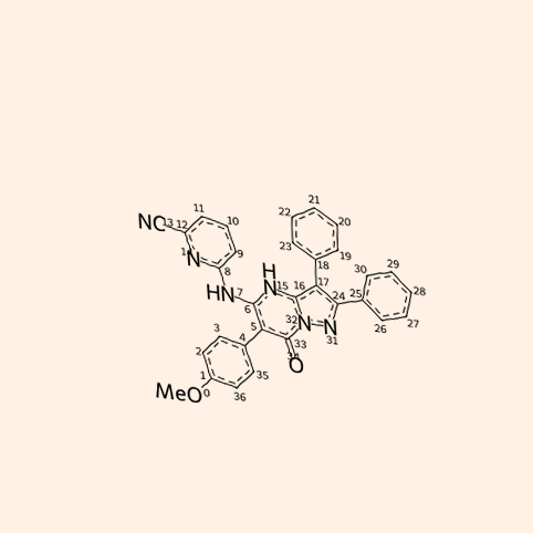 COc1ccc(-c2c(Nc3cccc(C#N)n3)[nH]c3c(-c4ccccc4)c(-c4ccccc4)nn3c2=O)cc1